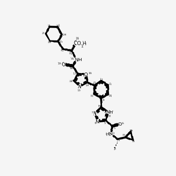 C[C@H](NC(=O)c1nnc(-c2cccc(-c3ncc(C(=O)NC(CC4CCCCC4)C(=O)O)o3)c2)[nH]1)C1CC1